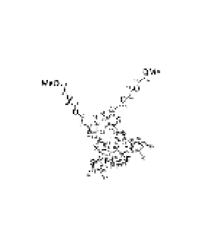 COCCOCCOCCc1sc(-c2cc(C3=C(c4cc(-c5cc(C)c(CCOCCOCCOC)s5)sc4-c4cc(C)c(C)s4)C(F)(F)C(F)(F)C3(F)F)c(-c3cc(C)c(C)s3)s2)cc1C